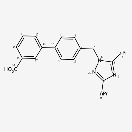 CCCc1nc(CCC)n(Cc2ccc(-c3cccc(C(=O)O)c3)cc2)n1